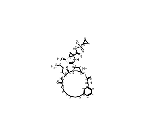 C=C[C@@H]1C[C@]1(NC(=O)[C@@H]1C[C@@H]2CN1C(=O)[C@H](CCCC)NC(=O)OCCCCCc1cccc(c1)NC(=O)O2)C(=O)NS(=O)(=O)C1CC1